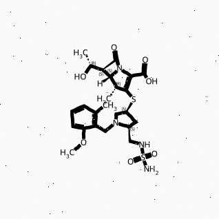 COc1cccc(C)c1CN1C[C@@H](SC2=C(C(=O)O)N3C(=O)[C@H]([C@@H](C)O)[C@H]3[C@H]2C)C[C@H]1CNS(N)(=O)=O